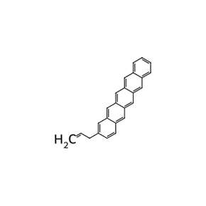 C=CCc1ccc2cc3cc4cc5ccccc5cc4cc3cc2c1